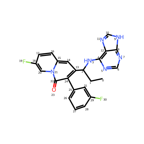 CCC(Nc1ncnc2[nH]cnc12)c1cc2ccc(F)cn2c(=O)c1-c1cccc(F)c1